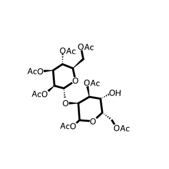 CC(=O)OC[C@@H]1OC(OC(C)=O)[C@@H](O[C@H]2O[C@H](COC(C)=O)[C@@H](OC(C)=O)[C@H](OC(C)=O)[C@@H]2OC(C)=O)[C@@H](OC(C)=O)[C@@H]1O